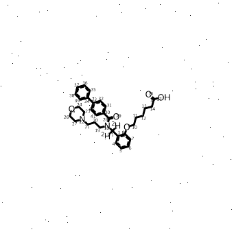 [2H]C([2H])(c1ccccc1OCCCCCC(=O)O)N(CCCN1CCOCC1)C(=O)c1ccc(-c2ccccc2)cc1